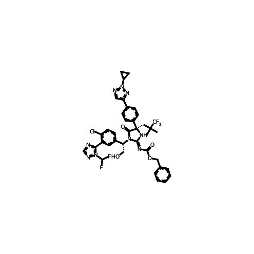 CC(C)(C[C@]1(c2ccc(-c3cnn(C4CC4)n3)cc2)NC(=NC(=O)OCc2ccccc2)N([C@H](CO)c2ccc(Cl)c(-c3ncnn3C(F)F)c2)C1=O)C(F)(F)F